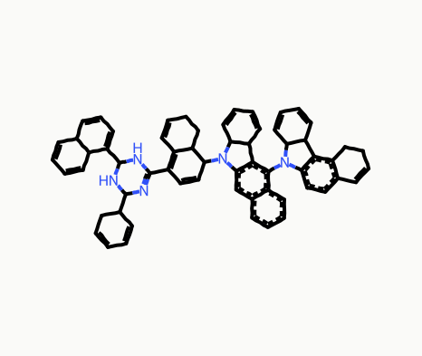 C1=CCC(C2N=C(C3=C4C=CCCC4C(N4c5cc6ccccc6c(N6c7ccc8c(c7C7C=CC=CC76)CCC=C8)c5C5C=CC=CC54)C=C3)NC(C3=CC=CC4C=CC=CC34)N2)C=C1